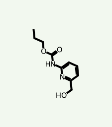 CCCOC(=O)Nc1cccc(CO)n1